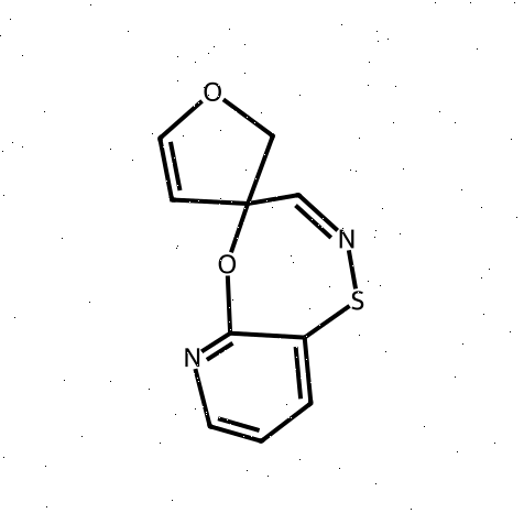 C1=CC2(C=NSc3cccnc3O2)CO1